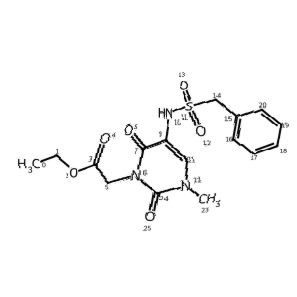 CCOC(=O)Cn1c(=O)c(NS(=O)(=O)Cc2ccccc2)cn(C)c1=O